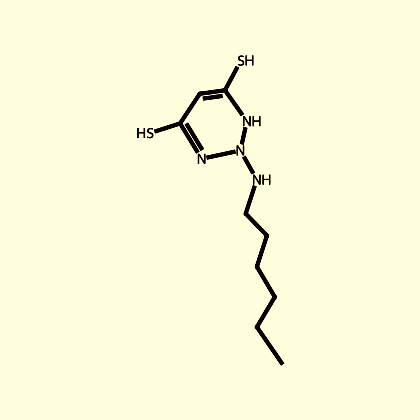 CCCCCCNN1N=C(S)C=C(S)N1